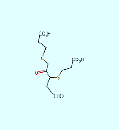 O=CCC(SCCC(=O)O)C(=O)CSCCC(=O)O